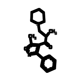 Cc1onc(-c2ccccc2)c1C(=O)C(C)CN1CCCCC1